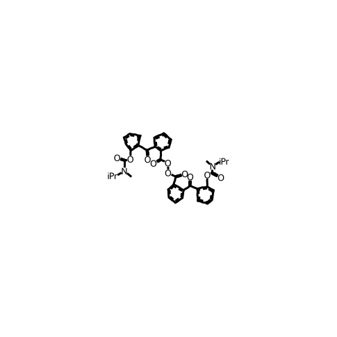 CC(C)N(C)C(=O)Oc1ccccc1C(=O)c1ccccc1C(=O)OOC(=O)c1ccccc1C(=O)c1ccccc1OC(=O)N(C)C(C)C